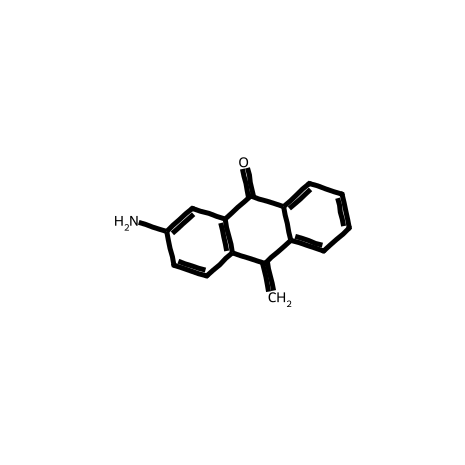 C=C1c2ccccc2C(=O)c2cc(N)ccc21